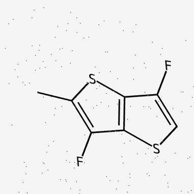 Cc1sc2c(F)csc2c1F